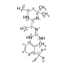 CNC(=NC(C)C1=NC(C)(C)CC(C)N1)Nc1cccc(C(F)(F)F)c1